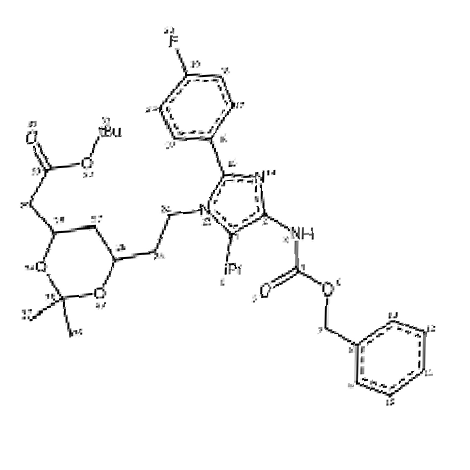 CC(C)c1c(NC(=O)OCc2ccccc2)nc(-c2ccc(F)cc2)n1CCC1CC(CC(=O)OC(C)(C)C)OC(C)(C)O1